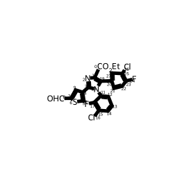 CCOC(=O)c1nc(-c2csc(C=O)c2)n(-c2cccc(Cl)c2F)c1-c1ccc(F)c(Cl)c1